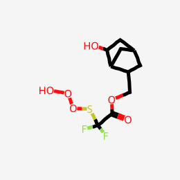 O=C(OCC1CC2CC(O)C1C2)C(F)(F)SOOO